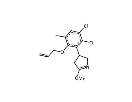 C=CCOc1c(F)cc(Cl)c(Cl)c1C1CN=C(OC)C1